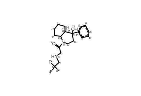 O=C(CNCC(F)(F)F)N1CC[C@@](O)(c2ccccc2)[C@@H]2CCCCC21